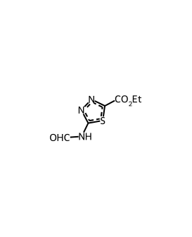 CCOC(=O)c1nnc(NC=O)s1